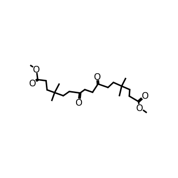 COC(=O)CCC(C)(C)CCC(=O)CCC(=O)CCC(C)(C)CCC(=O)OC